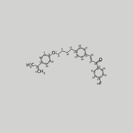 C=C(C)c1ccc(OCCCCc2ccc(C=CC(=O)c3ccc(F)cc3)cc2)cc1